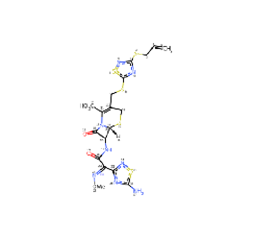 C=CCSc1nsc(SCC2=C(C(=O)O)N3C(=O)C(NC(=O)/C(=N/OC)c4nsc(N)n4)[C@H]3SC2)n1